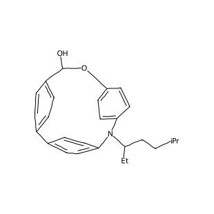 CCC(CCC(C)C)N1c2ccc(cc2)OC(O)c2ccc(cc2)-c2ccc1cc2